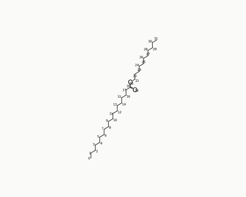 CCCCCCCCCCCCCCCCCCC(=O)OCCCCCCCCCCC